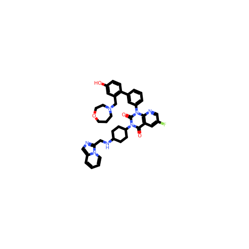 O=c1c2cc(F)cnc2n(-c2cccc(-c3ccc(O)cc3CN3CCCOCC3)c2)c(=O)n1C1CCC(NCc2ncc3ccccn23)CC1